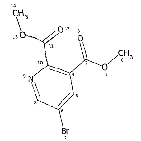 COC(=O)c1cc(Br)cnc1C(=O)OC